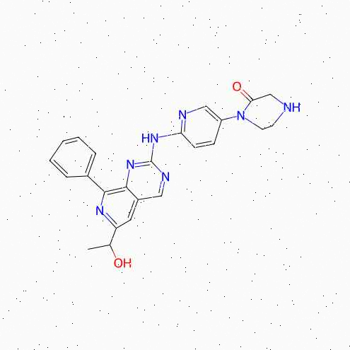 CC(O)c1cc2cnc(Nc3ccc(N4CCNCC4=O)cn3)nc2c(-c2ccccc2)n1